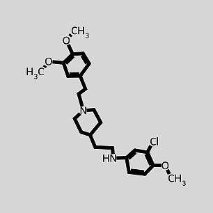 COc1ccc(NCCC2CCN(CCc3ccc(OC)c(OC)c3)CC2)cc1Cl